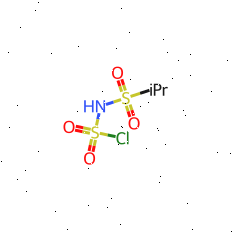 CC(C)S(=O)(=O)NS(=O)(=O)Cl